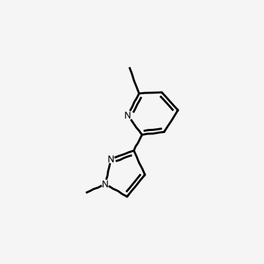 Cc1cccc(-c2ccn(C)n2)n1